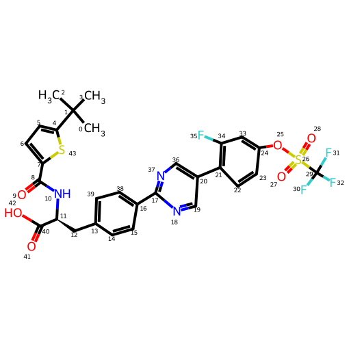 CC(C)(C)c1ccc(C(=O)N[C@@H](Cc2ccc(-c3ncc(-c4ccc(OS(=O)(=O)C(F)(F)F)cc4F)cn3)cc2)C(=O)O)s1